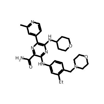 CCc1cc(Nc2nc(NC3CCOCC3)c(-c3ccnc(C)c3)nc2C(N)=O)ccc1CN1CCOCC1